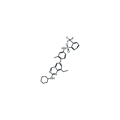 CCc1cc(-c2ccc(NS(=O)(=O)c3ccccc3C(F)(F)F)cc2C)cc2cnc(NC3CCCCC3)nc12